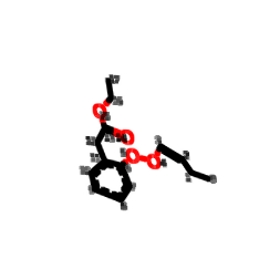 CC/C=C\OOc1ccccc1CC(=O)OCC